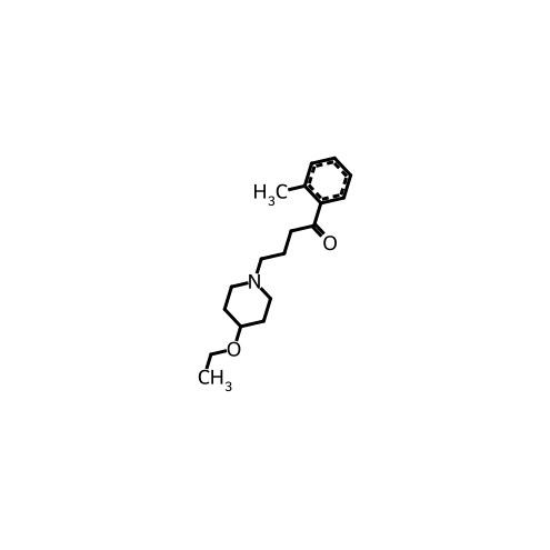 CCOC1CCN(CCCC(=O)c2ccccc2C)CC1